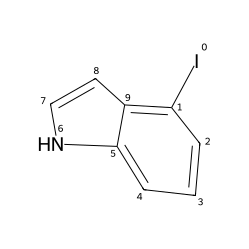 Ic1cccc2[nH]ccc12